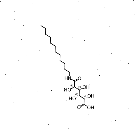 CCCCCCCCCCCCNC(=O)[C@H](O)[C@@H](O)[C@@H](O)[C@H](O)C(=O)O